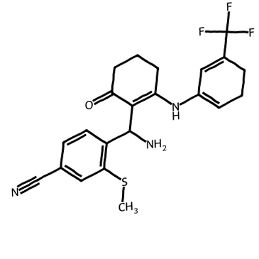 CSc1cc(C#N)ccc1C(N)C1=C(NC2=CCCC(C(F)(F)F)=C2)CCCC1=O